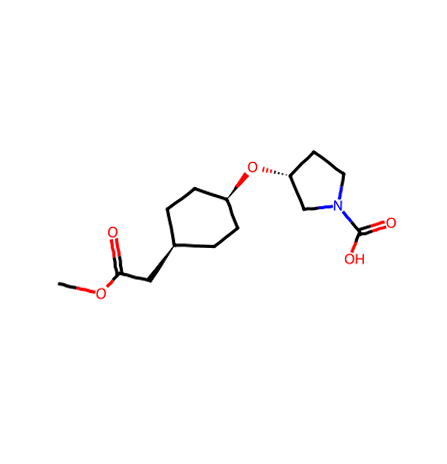 COC(=O)C[C@H]1CC[C@@H](O[C@@H]2CCN(C(=O)O)C2)CC1